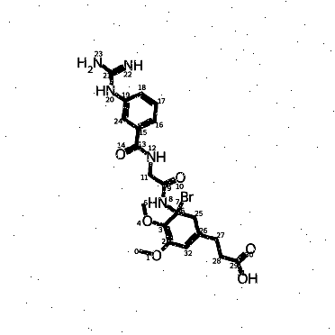 COC1=C(OC)C(Br)(NC(=O)CNC(=O)c2cccc(NC(=N)N)c2)CC(CCC(=O)O)=C1